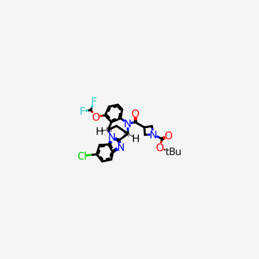 CC(C)(C)OC(=O)N1CC(C(=O)N2c3cccc(OC(F)F)c3[C@H]3C[C@@H]2c2nc4ccc(Cl)cc4n23)C1